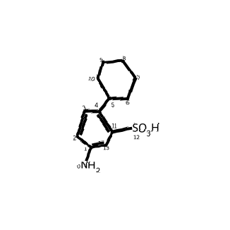 Nc1ccc(C2CCCCC2)c(S(=O)(=O)O)c1